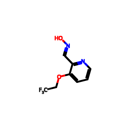 O/N=C/c1ncccc1OCC(F)(F)F